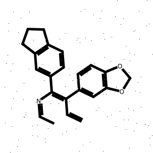 C=C/C(=C(\N=C/C)c1ccc2c(c1)CCC2)c1ccc2c(c1)OCO2